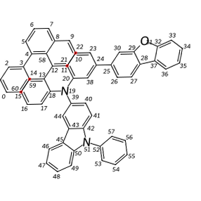 c1ccc(-c2cccc3cccc(-c4ccccc4N(c4cccc(-c5ccc6c(c5)oc5ccccc56)c4)c4ccc5c(c4)c4ccccc4n5-c4ccccc4)c23)cc1